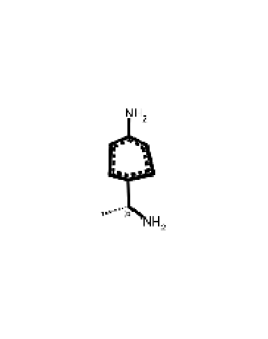 C[C@@H](N)c1ccc(N)cc1